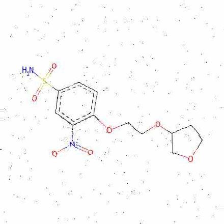 NS(=O)(=O)c1ccc(OCCOC2CCOC2)c([N+](=O)[O-])c1